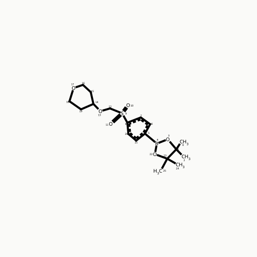 CC1(C)OB(c2ccc(S(=O)(=O)COC3CCOCC3)cc2)OC1(C)C